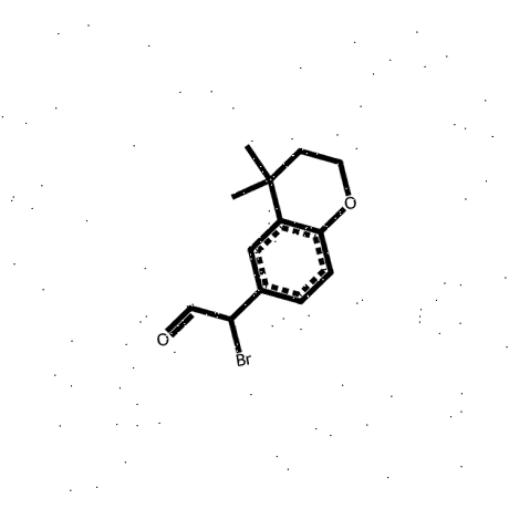 CC1(C)CCOc2ccc(C(Br)C=O)cc21